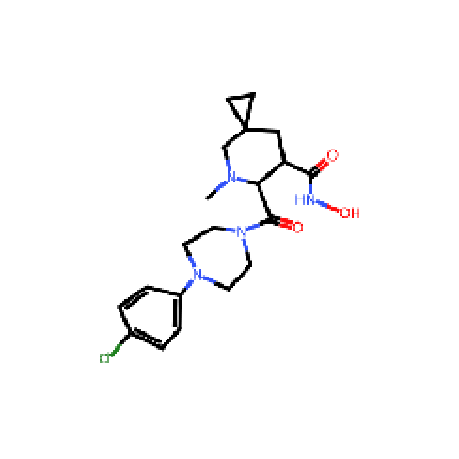 CN1CC2(CC2)CC(C(=O)NO)C1C(=O)N1CCN(c2ccc(Cl)cc2)CC1